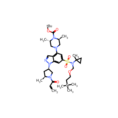 C=CC(=O)N1C[C@H](n2ncc3c(N4C[C@H](C)N(C(=O)OC(C)(C)C)[C@@H](C)C4)cc(S(=O)(=O)N(COCC[Si](C)(C)C)C4(C)CC4)cc32)C[C@@H]1C